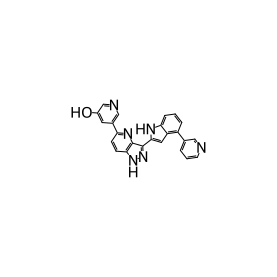 Oc1cncc(-c2ccc3[nH]nc(-c4cc5c(-c6cccnc6)cccc5[nH]4)c3n2)c1